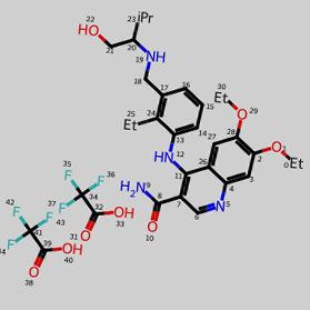 CCOc1cc2ncc(C(N)=O)c(Nc3cccc(CNC(CO)C(C)C)c3CC)c2cc1OCC.O=C(O)C(F)(F)F.O=C(O)C(F)(F)F